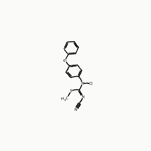 CSC(=NC#N)N(Cl)c1ccc(Oc2ccccc2)cc1